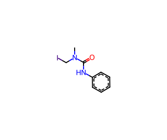 CN(CI)C(=O)Nc1ccccc1